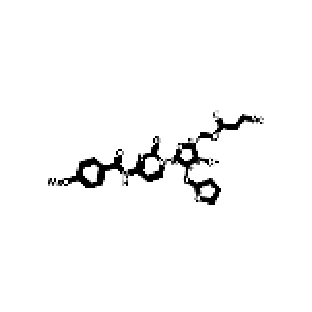 COc1ccc(C(=O)Nc2ccn([C@@H]3O[C@H](COC(=O)CCC(C)=O)[C@@H](O)[C@H]3OC3CCCO3)c(=O)n2)cc1